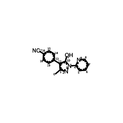 Cc1nn(-c2cc[c]cn2)c(O)c1-c1ccc(C#N)cc1